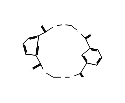 O=C1OCCOC(=O)c2cccc(c2)C(=O)OCCOC(=O)c2cccc1c2